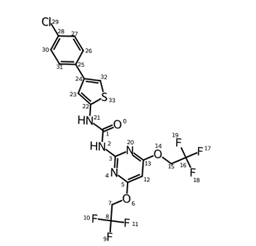 O=C(Nc1nc(OCC(F)(F)F)cc(OCC(F)(F)F)n1)Nc1cc(-c2ccc(Cl)cc2)cs1